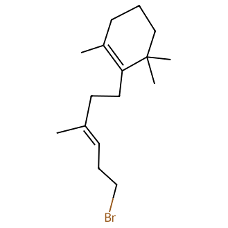 CC(=CCCBr)CCC1=C(C)CCCC1(C)C